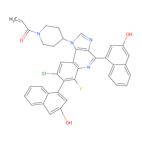 C=CC(=O)N1CCC(n2cnc3c(-c4cc(O)cc5ccccc45)nc4c(F)c(-c5cc(O)cc6ccccc56)c(Cl)cc4c32)CC1